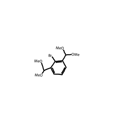 COC(OC)c1cccc(C(OC)OC)c1Br